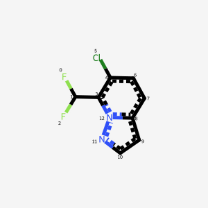 FC(F)c1c(Cl)ccc2ccnn12